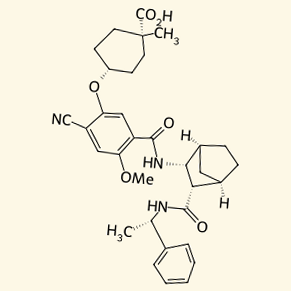 COc1cc(C#N)c(O[C@H]2CC[C@@](C)(C(=O)O)CC2)cc1C(=O)N[C@@H]1[C@H]2CC[C@H](C2)[C@@H]1C(=O)N[C@@H](C)c1ccccc1